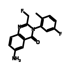 Cc1ccc(F)cc1-n1c(CF)nc2ccc(N)cc2c1=O